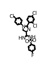 N=C(NS(=O)(=O)c1ccc(F)cc1)C1CN(c2ccc(Cl)cc2)C(c2ccc(Cl)cc2Cl)=N1